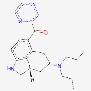 CCCN(CCC)[C@H]1Cc2c(C(=O)c3cnccn3)ccc3c2[C@@H](CN3)C1